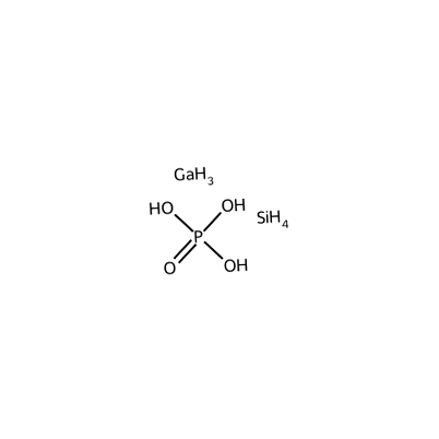 O=P(O)(O)O.[GaH3].[SiH4]